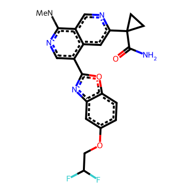 CNc1ncc(-c2nc3cc(OCC(F)F)ccc3o2)c2cc(C3(C(N)=O)CC3)ncc12